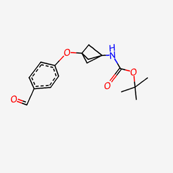 CC(C)(C)OC(=O)NC12CC(Oc3ccc(C=O)cc3)(C1)C2